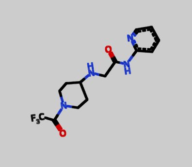 O=C(CNC1CCN(C(=O)C(F)(F)F)CC1)Nc1ccccn1